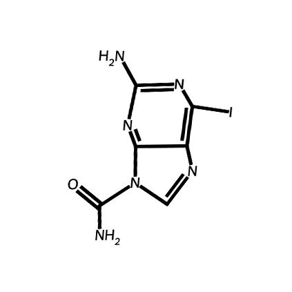 NC(=O)n1cnc2c(I)nc(N)nc21